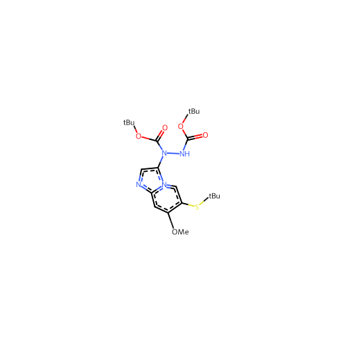 COc1cc2ncc(N(NC(=O)OC(C)(C)C)C(=O)OC(C)(C)C)n2cc1SC(C)(C)C